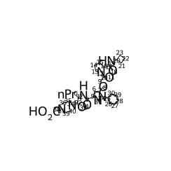 CCCC(NC(=O)c1cc(OCC(=O)N2CCCC2C(=O)NC2CCC2)n(-c2ccccc2)n1)C(=O)N1CCN(C(=O)O)CC1